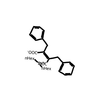 CCCCC[CH2][Sn+2][CH2]CCCCC.O=C([O-])/C(Cc1ccccc1)=C(/Cc1ccccc1)C(=O)[O-]